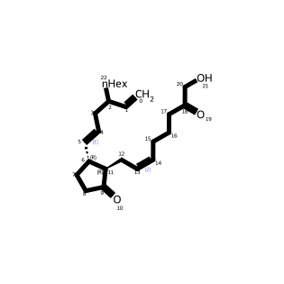 C=CC(C/C=C/[C@H]1CCC(=O)[C@@H]1C/C=C\CCCC(=O)CO)CCCCCC